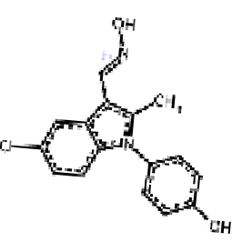 Cc1c(/C=N/O)c2cc(Cl)ccc2n1-c1ccc(O)cc1